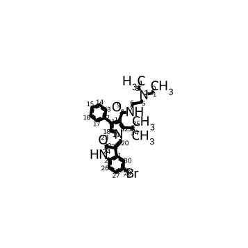 CCN(CC)CCNC(=O)c1c(-c2ccccc2)cn(C=C2C(=O)Nc3ccc(Br)cc32)c1C(C)C